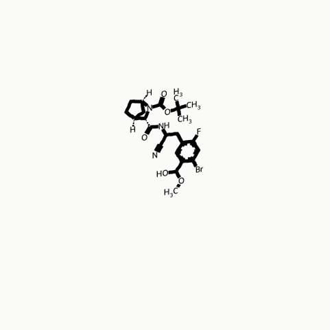 COC(O)c1cc(CC(C#N)NC(=O)[C@@H]2[C@H]3CC[C@H](C3)N2C(=O)OC(C)(C)C)c(F)cc1Br